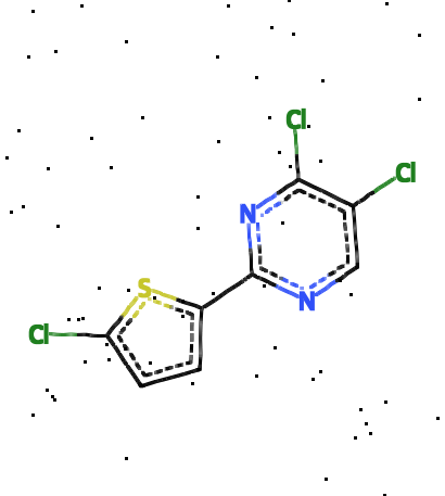 Clc1ccc(-c2ncc(Cl)c(Cl)n2)s1